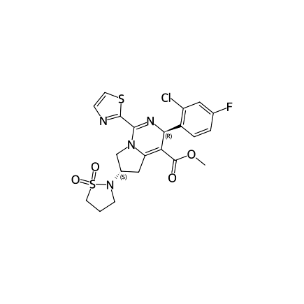 COC(=O)C1=C2C[C@H](N3CCCS3(=O)=O)CN2C(c2nccs2)=N[C@H]1c1ccc(F)cc1Cl